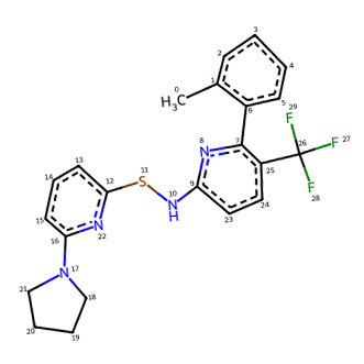 Cc1ccccc1-c1nc(NSc2cccc(N3CCCC3)n2)ccc1C(F)(F)F